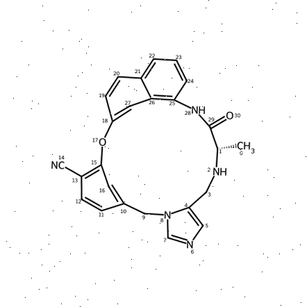 C[C@@H]1NCc2cncn2Cc2ccc(C#N)c(c2)Oc2ccc3cccc(c3c2)NC1=O